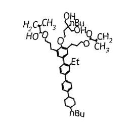 C=C(C)C(=O)OCCCc1cc(-c2ccc(-c3ccc(C4CCC(CCCC)CC4)cc3)cc2CC)cc(CCCOC(O)C(=C)C)c1OCCC(CO)(CO)CCCC